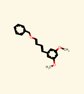 COc1cc(C=CC=COCc2ccccc2)cc(OC)c1